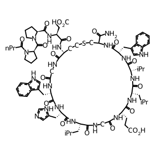 CCCC(=O)N1CCC[C@@H]1C(=O)N1CCC[C@H]1C(=O)N[C@@H](CC(=O)O)C(=O)N[C@@H]1CCSCC(C(N)=O)NC(=O)[C@H](Cc2c[nH]c3ccccc23)NC(=O)[C@H](C(C)C)NC(=O)[C@H](CC(C)C)NC(=O)[C@H](CCC(=O)O)NC(=O)CNC(=O)[C@H](CC(C)C)NC(=O)[C@H](Cc2cnc[nH]2)NC(=O)[C@H](Cc2c[nH]c3ccccc23)NC(=O)CNC1=O